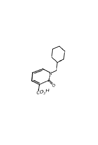 O=C(O)c1cccn(CC2CCCCC2)c1=O